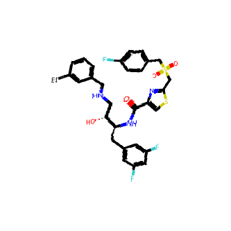 CCc1cccc(CNC[C@@H](O)[C@H](Cc2cc(F)cc(F)c2)NC(=O)c2csc(CS(=O)(=O)Cc3ccc(F)cc3)n2)c1